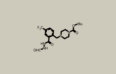 CC(C)(C)OC(=O)N1CCN(Cc2ccc(C(F)(F)F)cc2C(=O)NNC=O)CC1